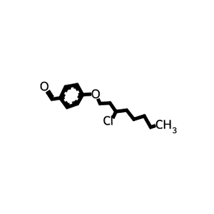 CCCCCC(Cl)CCOc1ccc(C=O)cc1